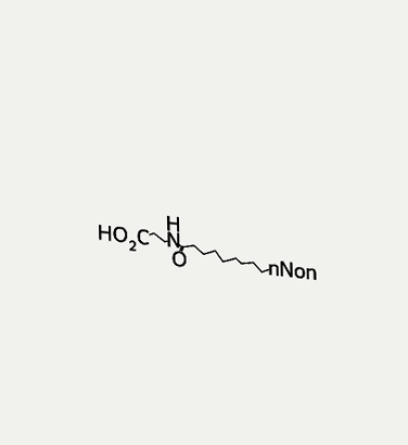 CCCCCCCCCCCCCCCCCC(=O)NCCC(=O)O